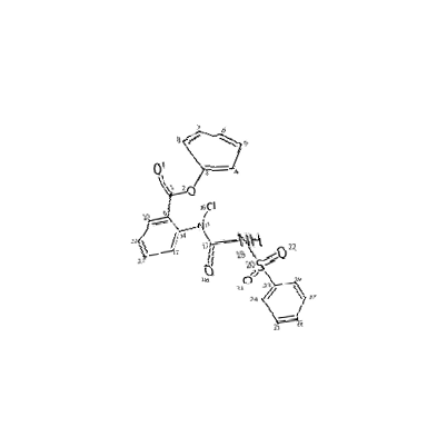 O=C(Oc1ccccc1)c1ccccc1N(Cl)C(=O)NS(=O)(=O)c1ccccc1